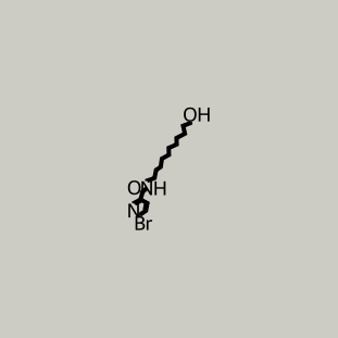 O=C(NCCCCCCCCCCCCO)c1ccc(Br)nc1